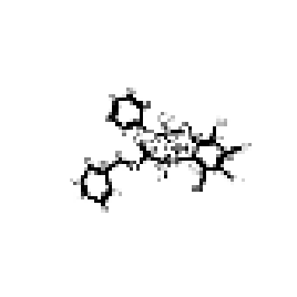 C[C@H](NP(=O)(Oc1ccccc1)Oc1c(I)c(I)c(I)c(I)c1I)C(=O)OCc1ccccc1